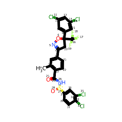 Cc1cc(C2=NOC(c3cc(Cl)cc(Cl)c3)(C(F)(F)F)C2)ccc1C(=O)N[S+]([O-])c1ccc(Cl)c(Cl)c1